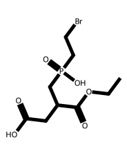 CCOC(=O)C(CC(=O)O)CP(=O)(O)CCBr